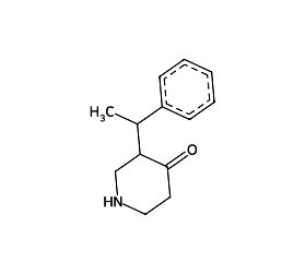 CC(c1ccccc1)C1CNCCC1=O